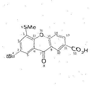 CSc1cc(C(C)(C)C)cc2c(=O)c3cc(C(=O)O)ccc3oc12